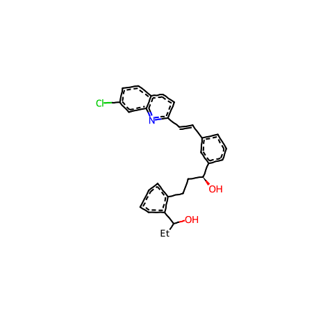 CCC(O)c1ccccc1CC[C@H](O)c1cccc(/C=C/c2ccc3ccc(Cl)cc3n2)c1